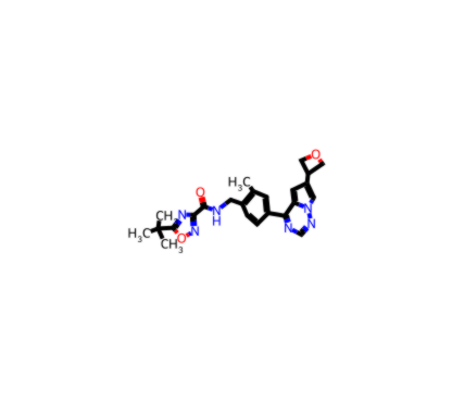 Cc1cc(-c2ncnn3cc(C4COC4)cc23)ccc1CNC(=O)c1noc(C(C)(C)C)n1